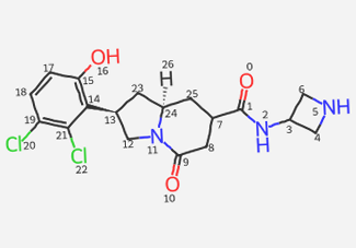 O=C(NC1CNC1)C1CC(=O)N2C[C@@H](c3c(O)ccc(Cl)c3Cl)C[C@H]2C1